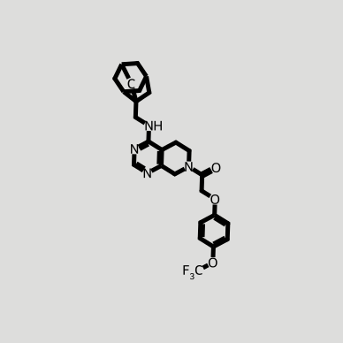 O=C(COc1ccc(OC(F)(F)F)cc1)N1CCc2c(ncnc2NCC23CC4CC(CC2C4)C3)C1